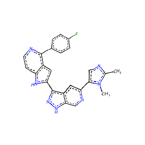 Cc1ncc(-c2cc3c(-c4cc5c(-c6ccc(F)cc6)nccc5[nH]4)n[nH]c3cn2)n1C